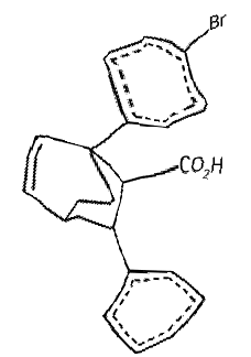 O=C(O)C1C(c2ccccc2)C2C=CC1(c1ccc(Br)cc1)C2